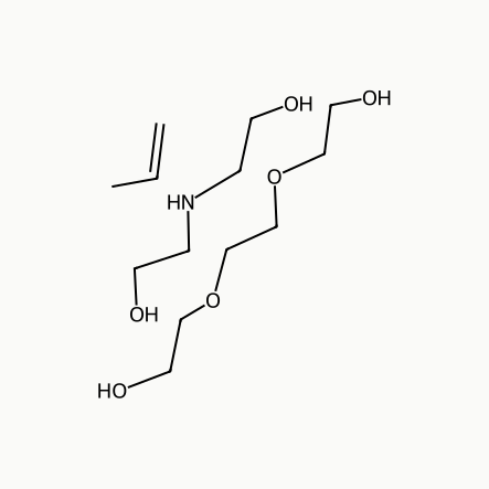 C=CC.OCCNCCO.OCCOCCOCCO